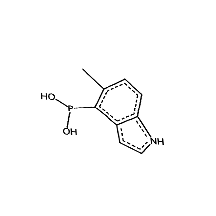 Cc1ccc2[nH]ccc2c1P(O)O